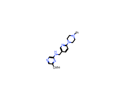 COc1cncc(NCc2ccc(N3CCN(C(C)C)CC3)nc2)n1